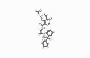 C=N/C(C(=O)N[C@@H](C)C(=O)O[C@@H](C)C(O)(c1ccccc1)c1ccccc1)=C(OCOC(C)=O)\C(=C/C)OC